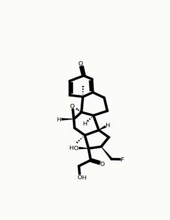 C[C@]12C=CC(=O)C=C1CC[C@H]1[C@@H]3C[C@@H](CF)[C@](O)(C(=O)CO)[C@@]3(C)C[C@@H]3O[C@@]312